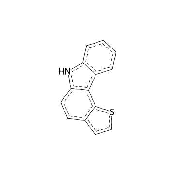 c1ccc2c(c1)[nH]c1ccc3ccsc3c12